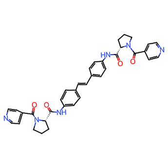 O=C(Nc1ccc(/C=C/c2ccc(NC(=O)[C@@H]3CCCN3C(=O)c3ccncc3)cc2)cc1)[C@@H]1CCCN1C(=O)c1ccncc1